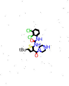 CC(C)(C)c1cc(C(=O)N2CCNCC2)c(NC(=O)Nc2cccc(Cl)c2Cl)s1